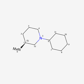 CN[C@H]1CCCN(C2CCCCC2)C1